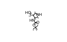 CC(C)(C)OC(=O)NC1CNC[C@@H]1CO